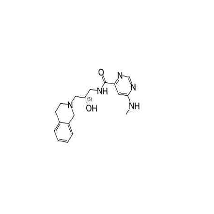 CNc1cc(C(=O)NC[C@H](O)CN2CCc3ccccc3C2)ncn1